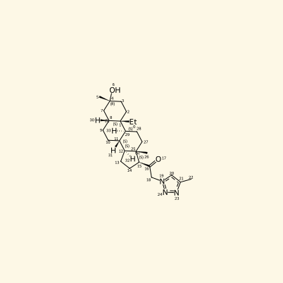 CC[C@]12CC[C@@](C)(O)C[C@H]1CC[C@H]1[C@@H]3CC[C@H](C(=O)Cn4cc(C)nn4)[C@@]3(C)CC[C@@H]12